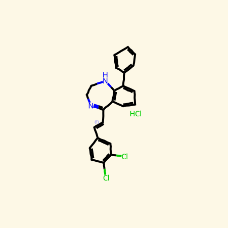 Cl.Clc1ccc(/C=C/C2=NCCNc3c2cccc3-c2ccccc2)cc1Cl